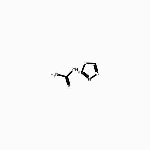 CC(N)=S.c1nnco1